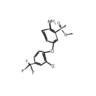 COP(C)(=O)c1cc(Oc2ccc(C(F)(F)F)cc2Cl)ccc1N